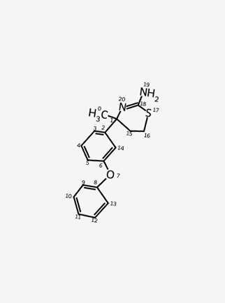 CC1(c2cccc(Oc3ccccc3)c2)CCSC(N)=N1